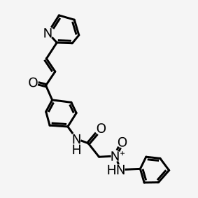 O=C(C[N+](=O)Nc1ccccc1)Nc1ccc(C(=O)C=Cc2ccccn2)cc1